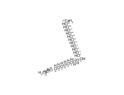 Cl.Cl.Cl.Cl.Cl.Cl.Cl.Cl.Cl.Cl.Cl.Cl.Cl.Cl.Cl.Cl.Cl.Cl.Cl.Cl.Cl.Cl.[CaH2].[CaH2]